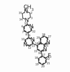 CN1CCN(c2ccc(-c3cncc(-c4cc(-c5ccccc5F)nc5ncccc45)n3)cn2)CC1